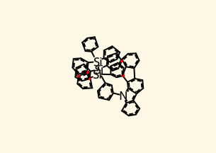 c1ccc([Si](c2ccccc2)(c2ccccc2)[Si](c2ccccc2)(c2ccccc2)[Si](c2ccccc2)(c2ccccc2)c2cccc(-n3c4ccccc4c4ccc5c(c43)Cc3ccccc3-5)c2)cc1